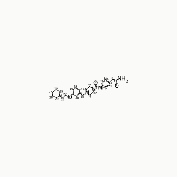 NC(=O)Cc1ccc(NC(=O)N2CCN(Cc3cccc(OCCC4CCCCC4)c3)CC2)cn1